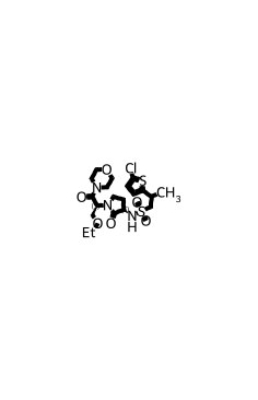 CCOC[C@@H](C(=O)N1CCOCC1)N1CC[C@H](NS(=O)(=O)CC(C)c2ccc(Cl)s2)C1=O